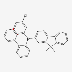 CC1(C)c2ccccc2-c2ccc(N(c3cccc(Cl)c3)c3ccccc3-c3ccccc3)cc21